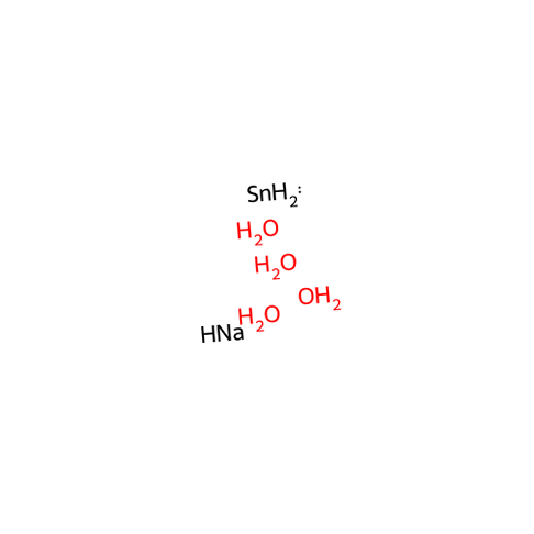 O.O.O.O.[NaH].[SnH2]